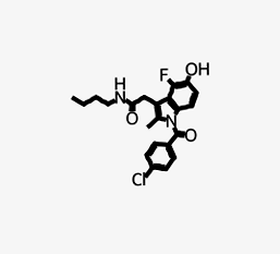 CCCCNC(=O)Cc1c(C)n(C(=O)c2ccc(Cl)cc2)c2ccc(O)c(F)c12